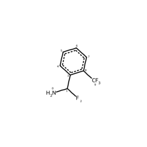 NC(F)c1ccccc1C(F)(F)F